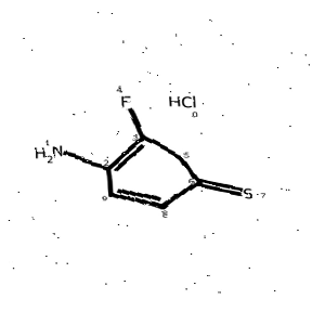 Cl.NC1=C(F)CC(=S)C=C1